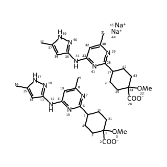 COC1(C(=O)[O-])CCC(c2nc(C)cc(Nc3cc(C)[nH]n3)n2)CC1.COC1(C(=O)[O-])CCC(c2nc(C)cc(Nc3cc(C)[nH]n3)n2)CC1.[Na+].[Na+]